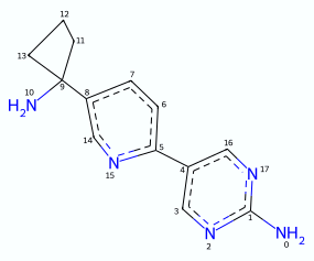 Nc1ncc(-c2ccc(C3(N)CCC3)cn2)cn1